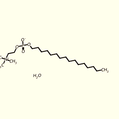 CCCCCCCCCCCCCCCCOP(=O)([O-])OCC[N+](C)(C)C.O